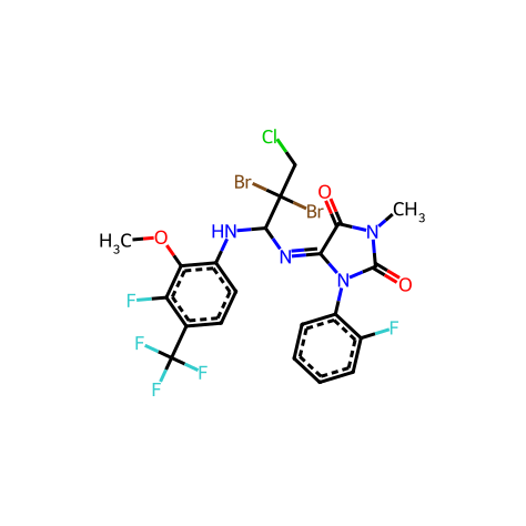 COc1c(NC(N=C2C(=O)N(C)C(=O)N2c2ccccc2F)C(Br)(Br)CCl)ccc(C(F)(F)F)c1F